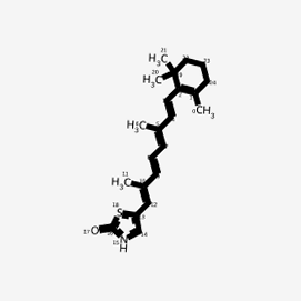 CC1=C(/C=C/C(C)=C/C=C/C(C)=C/c2c[nH]c(=O)s2)C(C)(C)CCC1